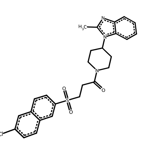 Cc1nc2ccccc2n1C1CCN(C(=O)CCS(=O)(=O)c2ccc3cc(Cl)ccc3c2)CC1